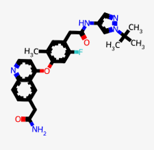 Cc1cc(CC(=O)Nc2cnn(C(C)(C)C)c2)c(F)cc1Oc1ccnc2ccc(CC(N)=O)cc12